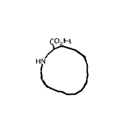 O=C(O)C1CCCCCCCCCCCCCNC1